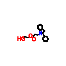 O=C(CCn1c(-c2ccccc2)cc2ccccc21)OCCO